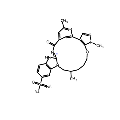 CCS(=N)(=O)c1ccc2c(c1)N1CC(C)CCCOc3c(cnn3C)-c3cc(cc(C)n3)C(=O)/N=C/1N2